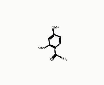 [CH2]C(=O)Nc1cc(OC)ccc1C(N)=O